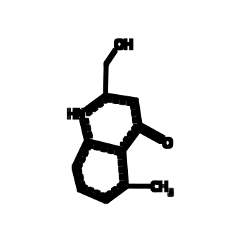 Cc1cccc2[nH]c(CO)cc(=O)c12